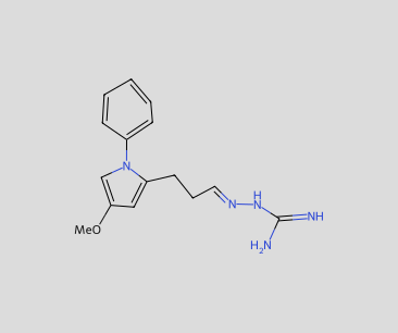 COc1cc(CCC=NNC(=N)N)n(-c2ccccc2)c1